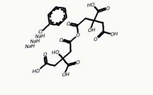 Clc1ccccc1.O=C(O)CC(O)(CC(=O)OC(=O)CC(O)(CC(=O)O)C(=O)O)C(=O)O.[NaH].[NaH].[NaH]